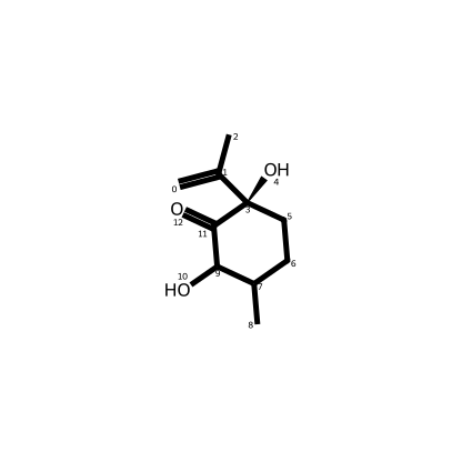 C=C(C)[C@]1(O)CCC(C)C(O)C1=O